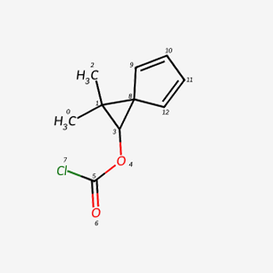 CC1(C)C(OC(=O)Cl)C12C=CC=C2